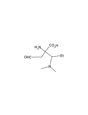 CCC(N(C)C)C(N)(CC=O)C(=O)O